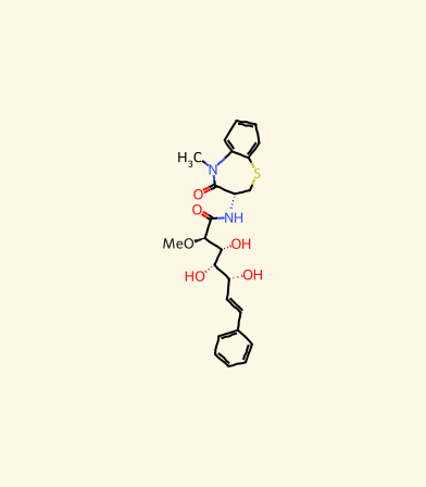 CO[C@@H](C(=O)N[C@H]1CSc2ccccc2N(C)C1=O)[C@H](O)[C@@H](O)[C@H](O)C=Cc1ccccc1